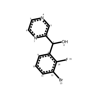 OC(c1cnccn1)c1cccc(Br)c1F